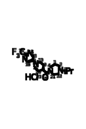 CC(C)N1CCCN(C(=O)C2CCN(c3cnc(C(F)(F)F)nc3)CC2)CC1.Cl